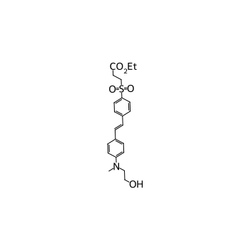 CCOC(=O)CCS(=O)(=O)c1ccc(C=Cc2ccc(N(C)CCO)cc2)cc1